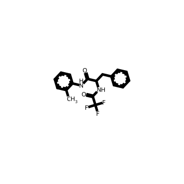 Cc1ccccc1NC(=O)C(Cc1ccccc1)NC(=O)C(F)(F)F